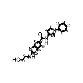 O=C(Nc1ccn(-c2ccccc2)n1)c1cc2sc(NCCO)nc2s1